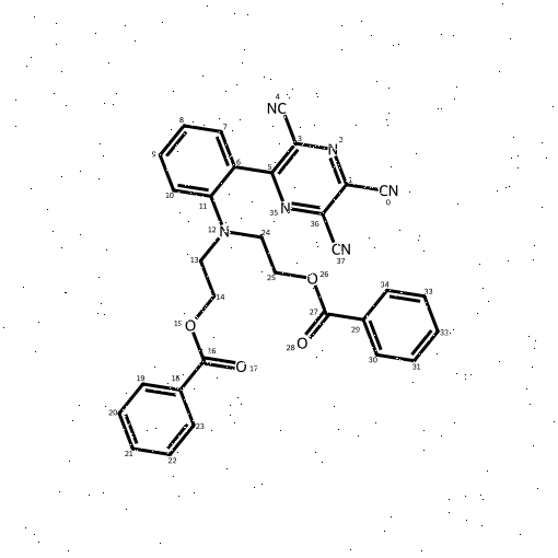 N#Cc1nc(C#N)c(-c2ccccc2N(CCOC(=O)c2ccccc2)CCOC(=O)c2ccccc2)nc1C#N